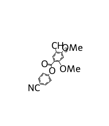 COc1cc(OC)c(C(=O)Oc2ccc(C#N)cc2)cc1C